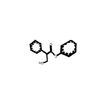 O=C(Oc1ccccc1)C(CS)c1ccccc1